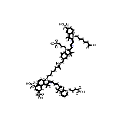 CC1(C)C(/C=C/C=C2/N(CCCCCC(=O)O)c3ccc(S(=O)(=O)O)cc3C2(C)C)=[N+](CCCS(=O)(=O)O)c2ccc(CNC(=O)CCCCCN3/C(=C/C=C/C4=Nc5c(ccc[n+]5CCCS(=O)(=O)O)C4(C)C)C(C)(C)c4c3ccc3c(S(=O)(=O)O)cc(S(=O)(=O)O)cc43)cc21